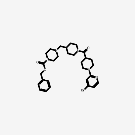 O=C(OCc1ccccc1)N1CCN(CC2CCN(C(=O)C3CCN(c4cc(Br)ccn4)CC3)CC2)CC1